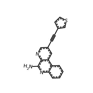 Nc1nc2ccccc2c2cc(C#Cc3ccsc3)cnc12